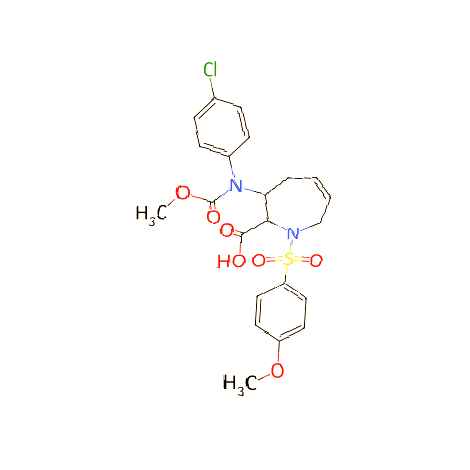 COC(=O)N(c1ccc(Cl)cc1)C1CC=CCN(S(=O)(=O)c2ccc(OC)cc2)C1C(=O)O